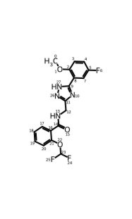 COc1ccc(F)cc1-c1nc(CNC(=O)c2ccccc2OC(F)F)n[nH]1